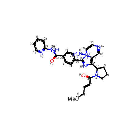 COCC=CC(=O)N1CCCC1C1=C2C=NC=C[N+]2(N)C(c2ccc(C(=O)Nc3ccccn3)cc2)=N1